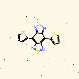 c1csc(-c2c3c(c(-c4cccs4)c4nsnc24)N=S=N3)c1